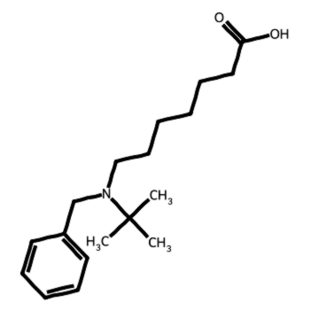 CC(C)(C)N(CCCCCCC(=O)O)Cc1ccccc1